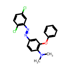 CN(C)c1ccc(/N=N/c2cc(Cl)ccc2Cl)cc1Oc1ccccc1